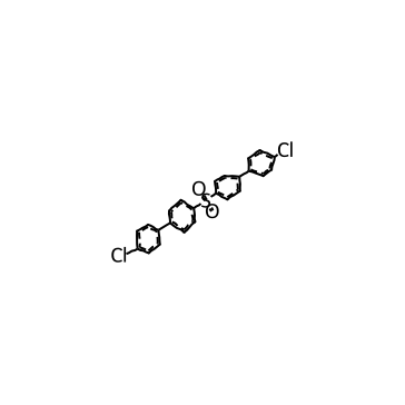 O=S(=O)(c1ccc(-c2ccc(Cl)cc2)cc1)c1ccc(-c2ccc(Cl)cc2)cc1